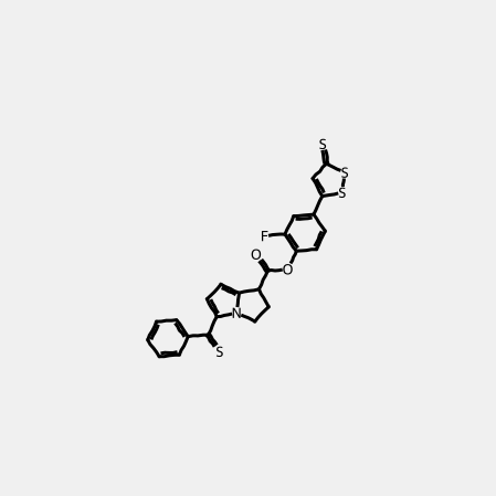 O=C(Oc1ccc(-c2cc(=S)ss2)cc1F)C1CCn2c(C(=S)c3ccccc3)ccc21